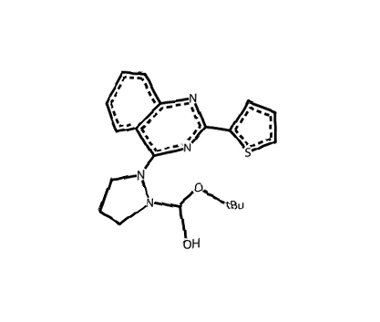 CC(C)(C)OC(O)N1CCCN1c1nc(-c2cccs2)nc2ccccc12